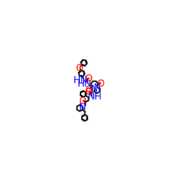 O=C(CC(NC(=O)[C@@H]1CCCN2C(=O)CCC(NC(=O)Nc3ccc(Oc4ccccc4)cc3)C(=O)N12)c1ccccc1)CN1CCCCC1Cc1ccccc1